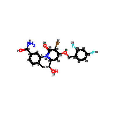 Cc1ccc(C(N)=O)cc1-n1c(CO)cc(OCc2ccc(F)cc2F)c(Br)c1=O